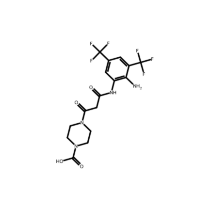 Nc1c(NC(=O)CC(=O)N2CCN(C(=O)O)CC2)cc(C(F)(F)F)cc1C(F)(F)F